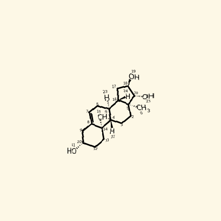 C[C@]12CC[C@H]3[C@@H](CC=C4C[C@@H](O)CC[C@@]43C)[C@@H]1C[C@@H](O)[C@@H]2O